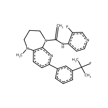 C=C(Nc1ccncc1F)N1CCCN(C)c2ccc(-c3cccc(C(C)(C)F)c3)nc21